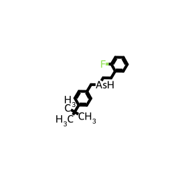 CC(C)(C)c1ccc(C[AsH]CCc2ccccc2F)cc1